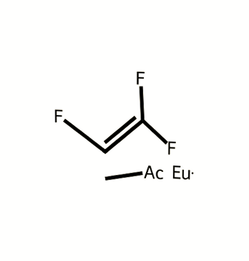 CC(C)=O.FC=C(F)F.[Eu]